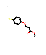 COC(=O)CCOc1ccc(S)cc1